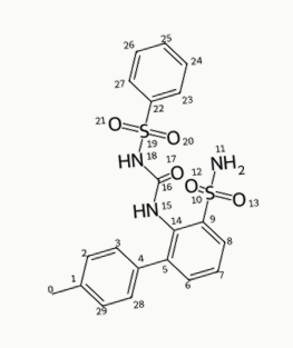 Cc1ccc(-c2cccc(S(N)(=O)=O)c2NC(=O)NS(=O)(=O)c2ccccc2)cc1